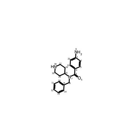 Nc1ccc(C(=O)N(Cc2ccccc2)C2CCNCC2)cc1